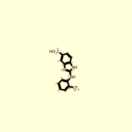 O=C(O)c1ccc2[nH]c(Nc3ccccc3C(F)(F)F)nc2c1